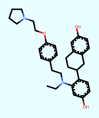 CCN(CCc1ccc(OCCN2CCCC2)cc1)c1cc(O)ccc1C1CCc2cc(O)ccc2C1